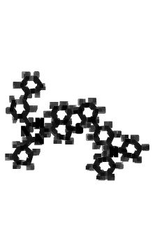 c1ccc(-c2cccc(-c3nc(-c4ccccc4)nc(-c4ccc5c6c(cccc46)-c4cccc(-c6ccc(N(c7ccccc7)c7ccccc7)cc6)c4S5)n3)c2)cc1